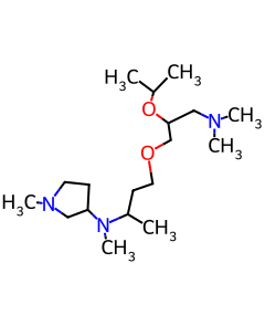 CC(C)OC(COCCC(C)N(C)C1CCN(C)C1)CN(C)C